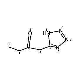 CCC(=O)Cc1nnn[nH]1